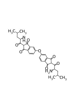 CC(C)C[C@@H](N)C(=O)C1C(=O)c2ccc(Oc3ccc4c(c3)C(=O)C(C(=O)[C@H](N)CC(C)C)C4=O)cc2C1=O